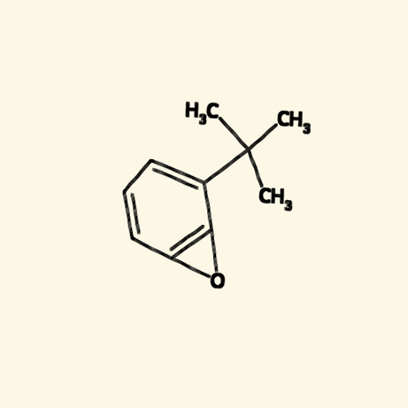 CC(C)(C)c1cccc2c1O2